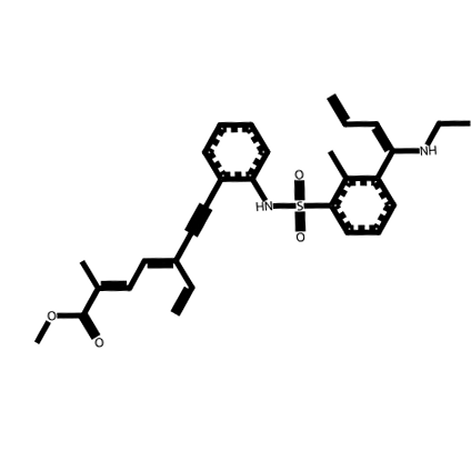 C=C/C=C(/NCC)c1cccc(S(=O)(=O)Nc2ccccc2C#C/C(C=C)=C/C=C(\C)C(=O)OC)c1C